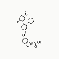 COc1ccc(F)c(-c2ccc(COc3ccc4c(c3)[C@@H](CC(=O)O)CC4)cc2C2=CCCCC2)c1